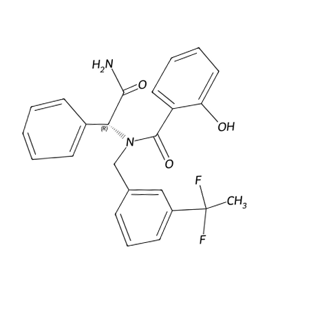 CC(F)(F)c1cccc(CN(C(=O)c2ccccc2O)[C@@H](C(N)=O)c2ccccc2)c1